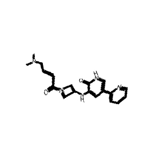 CN(C)CC=CC(=O)N1CC(Nc2cc(-c3ccccn3)c[nH]c2=O)C1